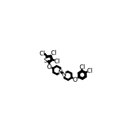 Clc1ccc(OC2CCN(N3CCC(Oc4sc(Cl)c(Cl)c4Cl)CC3)CC2)cc1Cl